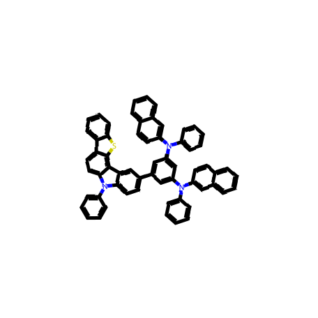 c1ccc(N(c2cc(-c3ccc4c(c3)c3c5sc6ccccc6c5ccc3n4-c3ccccc3)cc(N(c3ccccc3)c3ccc4ccccc4c3)c2)c2ccc3ccccc3c2)cc1